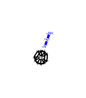 [CH]12[CH]3[CH]4[CH]5[CH]1[Fe]23451678[CH]2[CH]1[CH]6[CH]7[CH]28.[N-]=[N+]=N